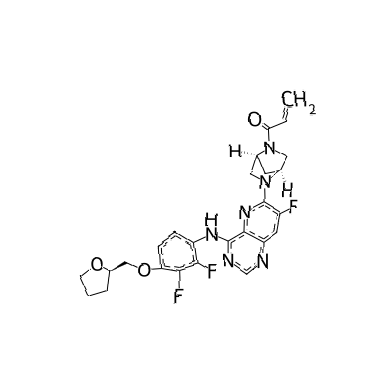 C=CC(=O)N1C[C@@H]2C[C@H]1CN2c1nc2c(Nc3ccc(OC[C@H]4CCCO4)c(F)c3F)ncnc2cc1F